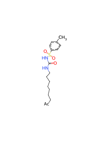 CC(=O)CCCCCCCNC(=O)NS(=O)(=O)c1ccc(C)cc1